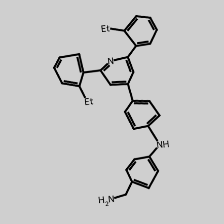 CCc1ccccc1-c1cc(-c2ccc(Nc3ccc(CN)cc3)cc2)cc(-c2ccccc2CC)n1